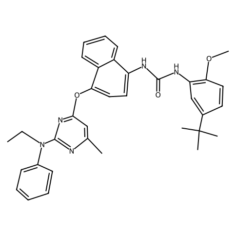 CCN(c1ccccc1)c1nc(C)cc(Oc2ccc(NC(=O)Nc3cc(C(C)(C)C)ccc3OC)c3ccccc23)n1